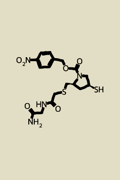 NC(=O)CNC(=O)CSC[C@@H]1C[C@H](S)CN1C(=O)OCc1ccc([N+](=O)[O-])cc1